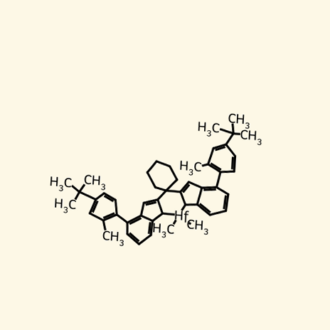 Cc1cc(C(C)(C)C)ccc1-c1cccc2c1C=C1[CH]2[Hf]([CH3])([CH3])[CH]2C(=Cc3c(-c4ccc(C(C)(C)C)cc4C)cccc32)C12CCCCC2